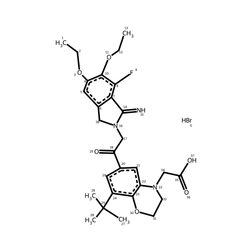 Br.CCOc1cc2c(c(F)c1OCC)C(=N)N(CC(=O)c1cc3c(c(C(C)(C)C)c1)OCCN3CC(=O)O)C2